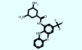 NC1CC(N)CC(C(=O)Nc2cc(C(F)(F)F)cc3c2Nc2ccccc2S3)C1